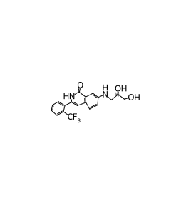 O=c1[nH]c(-c2ccccc2C(F)(F)F)cc2ccc(NC[C@@H](O)CO)cc12